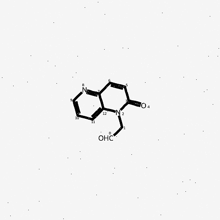 O=CCn1c(=O)ccc2ncccc21